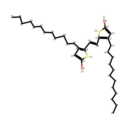 CCCCCCCCCCCCc1cc(Br)sc1C=Cc1sc(Br)cc1CCCCCCCCCCCC